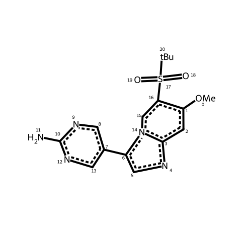 COc1cc2ncc(-c3cnc(N)nc3)n2cc1S(=O)(=O)C(C)(C)C